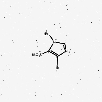 CCOC(=O)c1c(Br)ncn1C(C)(C)C